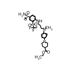 CCOC(=O)C1CCN(c2ccc(N(C)CCCNc3ccc(S(N)(=O)=O)cc3S(=O)(=O)C(F)(F)F)cc2)CC1